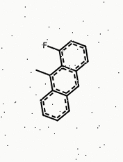 Cc1c2ccccc2cc2cccc(F)c12